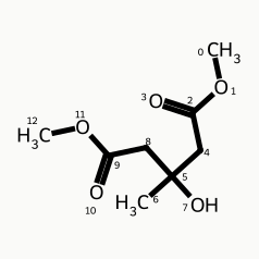 COC(=O)CC(C)(O)CC(=O)OC